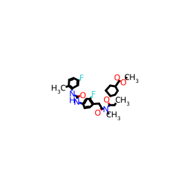 CCC(OC1CCC(C(=O)OC)CC1)N(C)C(=O)Cc1ccc2nc(Nc3cc(F)ccc3C)oc2c1F